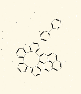 c1cncc(-c2ccc(-c3ccc4c5ccccc5c5ccccc5c5ccccc5c5c(cc6ccc7cccc8ccc5c6c78)c4c3)cn2)c1